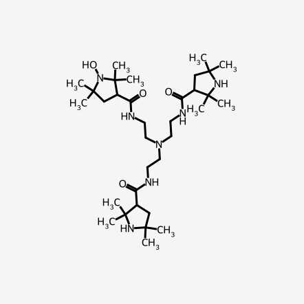 CC1(C)CC(C(=O)NCCN(CCNC(=O)C2CC(C)(C)NC2(C)C)CCNC(=O)C2CC(C)(C)N(O)C2(C)C)C(C)(C)N1